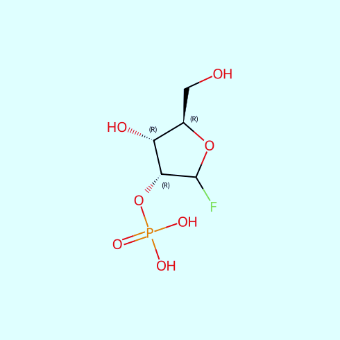 O=P(O)(O)O[C@H]1C(F)O[C@H](CO)[C@H]1O